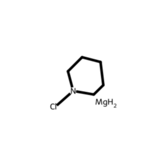 ClN1CCCCC1.[MgH2]